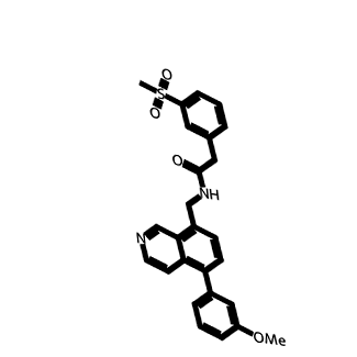 COc1cccc(-c2ccc(CNC(=O)Cc3cccc(S(C)(=O)=O)c3)c3cnccc23)c1